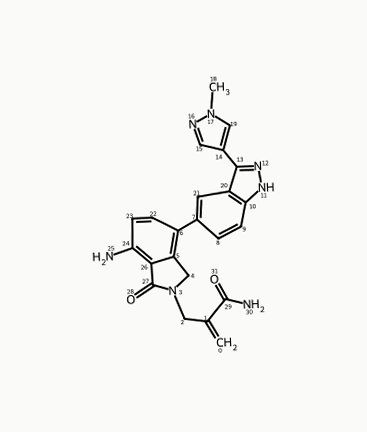 C=C(CN1Cc2c(-c3ccc4[nH]nc(-c5cnn(C)c5)c4c3)ccc(N)c2C1=O)C(N)=O